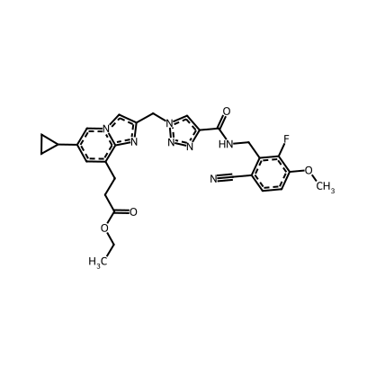 CCOC(=O)CCc1cc(C2CC2)cn2cc(Cn3cc(C(=O)NCc4c(C#N)ccc(OC)c4F)nn3)nc12